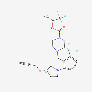 C#CCO[C@H]1CCN(c2cccc(C(F)(F)F)c2CN2CCN(C(=O)OC(C)C(F)(F)F)CC2)C1